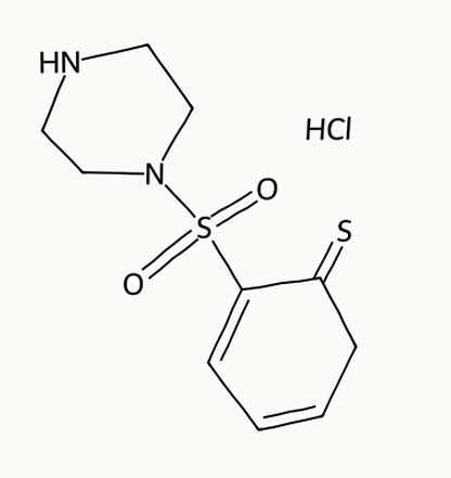 Cl.O=S(=O)(C1=CC=CCC1=S)N1CCNCC1